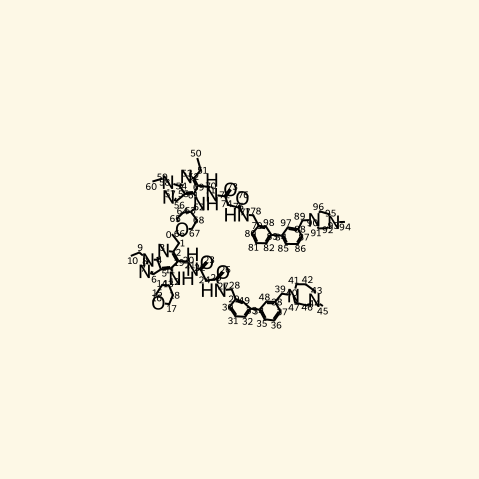 CCc1nc2c(cnn2CC)c(NC2CCOCC2)c1CNC(=O)CC(=O)NCc1cccc(-c2cccc(CN3CCCN(C)CC3)c2)c1.CCc1nc2c(cnn2CC)c(NC2CCOCC2)c1CNC(=O)CC(=O)NCc1cccc(-c2cccc(CN3CCN(C)CC3)c2)c1